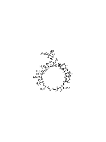 CO[C@@H]1C(=O)[C@H](C)C[C@H](C)/C=C/C=C/C=C(\C)[C@H](OC)C[C@@H]2CC[C@@H](C)[C@@](O)(O2)C(=O)C(=O)N2CCCC[C@H]2C(=O)O[C@H]([C@H](C)C[C@@H]2CC[C@H](O)[C@H](OC)C2)CC(=O)[C@H](C)/C=C(\C)[C@H]1O